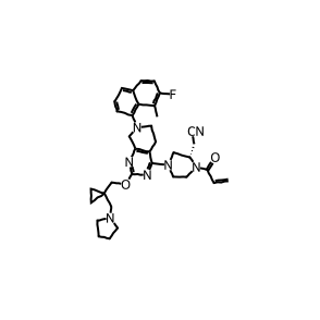 C=CC(=O)N1CCN(c2nc(OCC3(CN4CCCC4)CC3)nc3c2CCN(c2cccc4ccc(F)c(C)c24)C3)C[C@@H]1CC#N